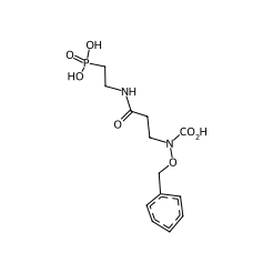 O=C(CCN(OCc1ccccc1)C(=O)O)NCCP(=O)(O)O